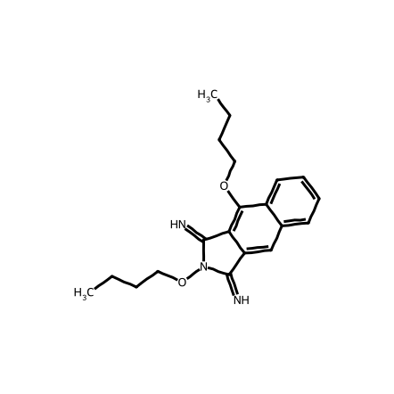 CCCCOc1c2c(cc3ccccc13)C(=N)N(OCCCC)C2=N